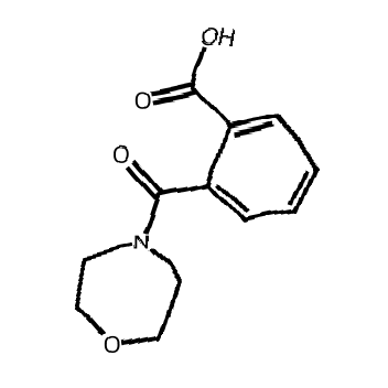 O=C(O)c1ccccc1C(=O)N1CCOCC1